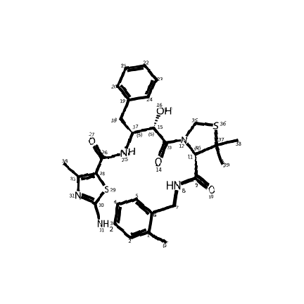 Cc1ccccc1CNC(=O)[C@H]1N(C(=O)[C@@H](O)[C@H](Cc2ccccc2)NC(=O)c2sc(N)nc2C)CSC1(C)C